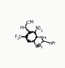 CCCC(CCC)Nc1c([N+](=O)[O-])cc(C(F)(F)F)c(NC#N)c1[N+](=O)[O-]